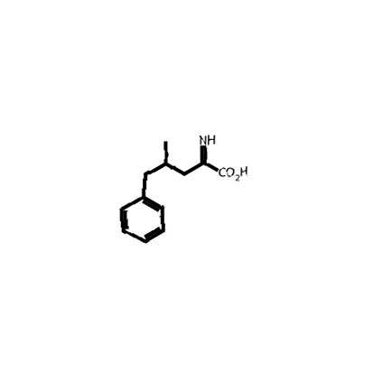 CC(CC(=N)C(=O)O)Cc1ccccc1